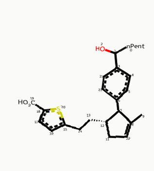 CCCCCC(O)c1ccc(C2C(C)=CC[C@@H]2CCc2ccc(C(=O)O)s2)cc1